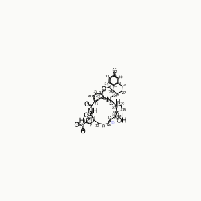 O=C1NS(=O)(=O)[C@H](CC[SH](=O)=O)CC/C=C/[C@H](O)[C@@H]2CC[C@H]2CN2C[C@@]3(CCCc4cc(Cl)ccc43)COc3ccc1cc32